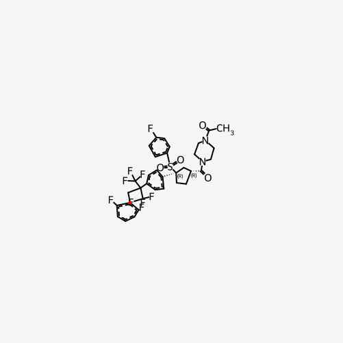 CC(=O)N1CCN(C(=O)[C@@H]2CC[C@@](c3ccc(C(Cc4c(F)cccc4F)(C(F)(F)F)C(F)(F)F)cc3)(S(=O)(=O)c3ccc(F)cc3)C2)CC1